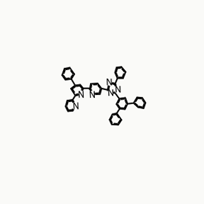 c1ccc(-c2cc(-c3ccccc3)cc(-c3nc(-c4ccccc4)nc(-c4ccc(-c5cc(-c6ccccc6)cc(-c6ccccn6)n5)nc4)n3)c2)cc1